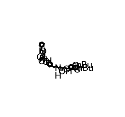 CCCC[Si]1(CCCC)OCc2cc(OCC(O)CNCCc3ccc(OC[C@H](CCOCc4ccccc4)[PH](=O)O)cc3)ccc2O1